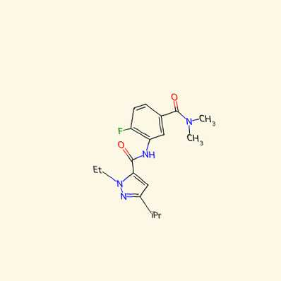 CCn1nc(C(C)C)cc1C(=O)Nc1cc(C(=O)N(C)C)ccc1F